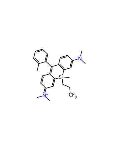 Cc1ccccc1C1=C2C=CC(=[N+](C)C)C=C2[Si](C)(CCC(F)(F)F)c2cc(N(C)C)ccc21